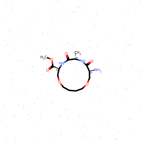 COC(=O)[C@@H]1COCCCCOC[C@H](N)C(=O)N[C@@H](C)C(=O)N1